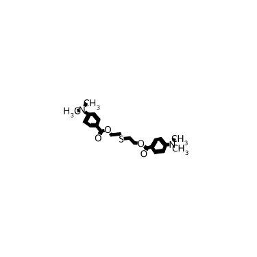 CN(C)c1ccc(C(=O)OCCSCCOC(=O)c2ccc(N(C)C)cc2)cc1